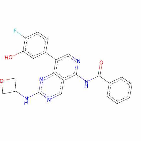 O=C(Nc1ncc(-c2ccc(F)c(O)c2)c2nc(NC3COC3)ncc12)c1ccccc1